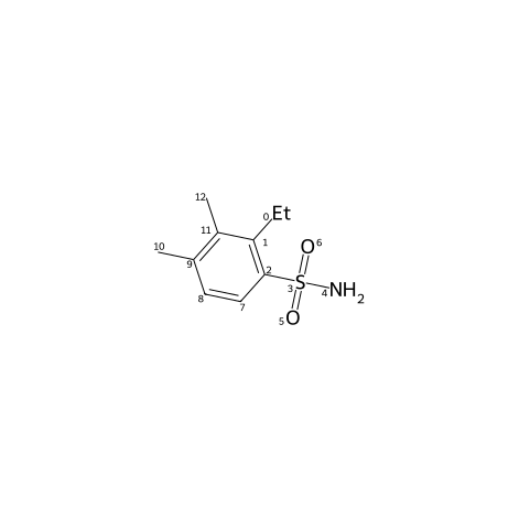 CCc1c(S(N)(=O)=O)ccc(C)c1C